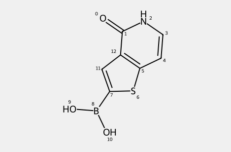 O=c1[nH]ccc2sc(B(O)O)cc12